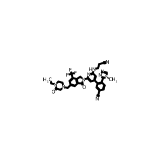 CCN1CCN(Cc2cc3c(c(C(F)(F)F)c2)CN(c2cc(-c4cc(C#N)ccc4-c4nncn4C)cc(NCCC#N)n2)C3=O)CC1=O